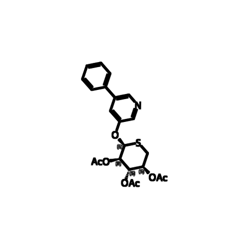 CC(=O)O[C@@H]1[C@@H](OC(C)=O)[C@@H](Oc2cncc(-c3ccccc3)c2)SC[C@H]1OC(C)=O